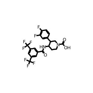 O=C(NC1CCN(C(=O)O)CC1c1ccc(F)c(F)c1)c1cc(C(F)(F)F)cc(C(F)(F)F)c1